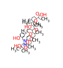 CCC(C(=O)O)C1CCC(C)C(C)(C(C)C(O)[C@H](C)C(=O)C(CC)C2O[C@]3(C=CC(NCc4ccccc4O)C4(CCC(C)(C5CCC(O)(CC)C(C)O5)O4)O3)[C@H](C)C[C@@H]2C)O1